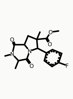 COC(=O)C1(C)CC2C(=O)N(C)C(C)C(=O)N2C1c1ccc(F)cc1